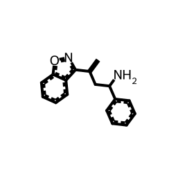 C=C(CC(N)c1ccccc1)c1noc2ccccc12